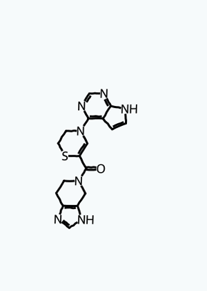 O=C(C1=CN(c2ncnc3[nH]ccc23)CCS1)N1CCc2nc[nH]c2C1